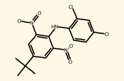 CC(C)(C)c1cc([N+](=O)[O-])c(Nc2ccc(Cl)cc2Cl)c([N+](=O)[O-])c1